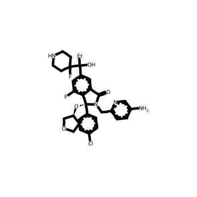 CCC(O)(c1cc(F)c2c(c1)C(=O)N(Cc1ccc(N)cn1)[C@@]2(O[C@H]1CCOC1)c1ccc(Cl)cc1)C1(F)CCNCC1